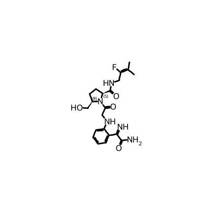 CC(C)=C(F)CNC(=O)[C@@H]1CC[C@H](CO)N1C(=O)CNc1ccccc1C(=N)C(N)=O